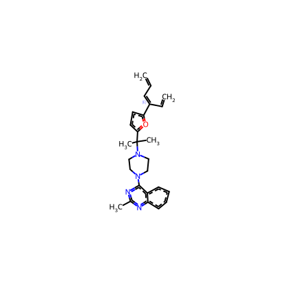 C=C/C=C(\C=C)c1ccc(C(C)(C)N2CCN(c3nc(C)nc4ccccc34)CC2)o1